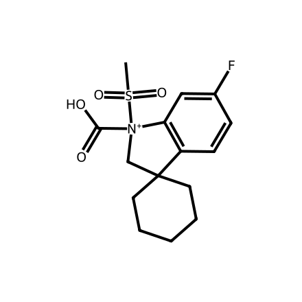 CS(=O)(=O)[N+]1(C(=O)O)CC2(CCCCC2)c2ccc(F)cc21